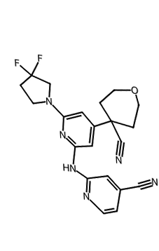 N#Cc1ccnc(Nc2cc(C3(C#N)CCOCC3)cc(N3CCC(F)(F)C3)n2)c1